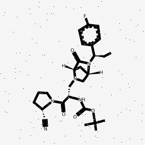 CC[C@H](c1ccc(F)cc1)N1C(=O)[C@@H]2C[C@H]1CN2C[C@H](NC(=O)OC(C)(C)C)C(=O)N1CCC[C@H]1C#N